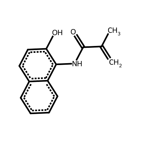 C=C(C)C(=O)Nc1c(O)ccc2ccccc12